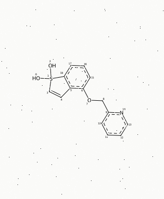 OS1(O)C=Cc2c(OCc3ccccn3)cccc21